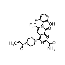 C=CC(=O)N1CCN(c2nc(C(N)=O)nc3c(=O)n(-c4c(O)cccc4F)c(C(F)(F)F)cc23)CC1